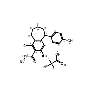 CCNC(=O)c1c(O)cc2c(c1Cl)CCNCC2c1ccc(O)cc1.O=C(O)C(F)(F)F